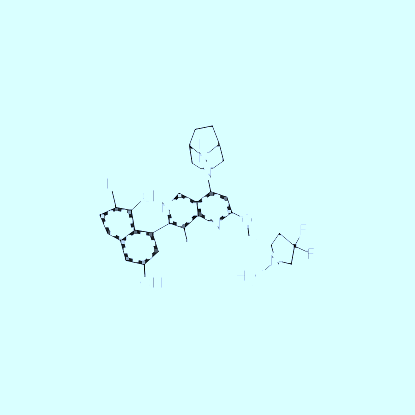 CN1CC(F)(F)C[C@H]1COc1cc(N2CC3CCC(C2)N3)c2cnc(-c3cc(O)cc4ccc(F)c(Cl)c34)c(F)c2n1